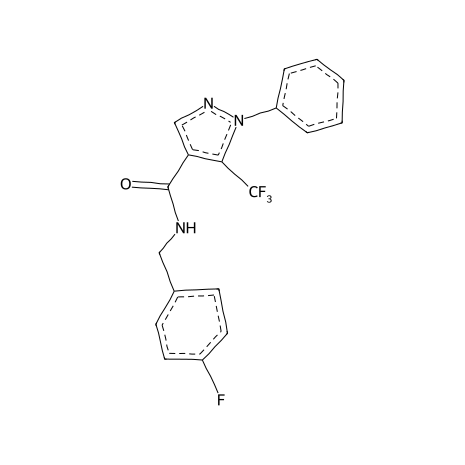 O=C(NCc1ccc(F)cc1)c1cnn(-c2ccccc2)c1C(F)(F)F